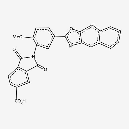 COc1ccc(-c2nc3cc4ccccc4cc3o2)cc1N1C(=O)c2ccc(C(=O)O)cc2C1=O